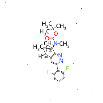 CN(C(=O)OC(C)(C)C)[C@]12CC[C@@H](c3cc(-c4c(F)cccc4F)nnc31)C2(C)C